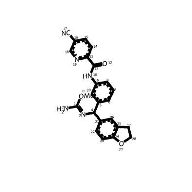 CO/C(N)=N\C(c1cccc(NC(=O)c2ccc(C#N)cn2)c1)c1ccc2c(c1)CCO2